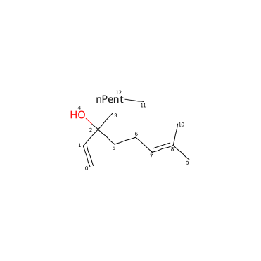 C=CC(C)(O)CCC=C(C)C.CCCCCC